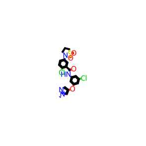 Cn1cc(Oc2cc(Cl)cc(NC(=O)c3cc(N4CCCS4(=O)=O)ccc3Cl)c2)cn1